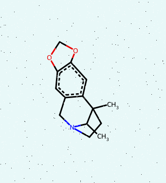 CC1N2CCC1(C)c1cc3c(cc1C2)OCO3